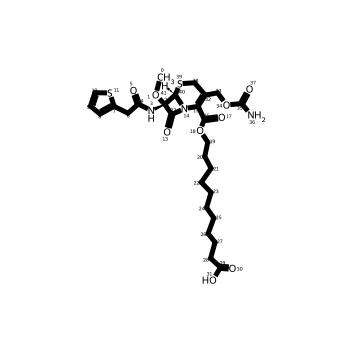 CO[C@@]1(NC(=O)Cc2cccs2)C(=O)N2C(C(=O)OCCCCCCCCCCC(=O)O)=C(COC(N)=O)CS[C@@H]21